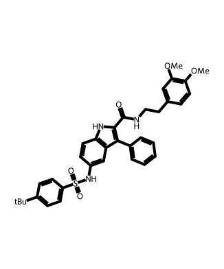 COc1ccc(CCNC(=O)c2[nH]c3ccc(NS(=O)(=O)c4ccc(C(C)(C)C)cc4)cc3c2-c2ccccc2)cc1OC